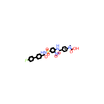 CN(C(=O)O)C12CCC(CNc3ccc(S(=O)(=O)NC(=O)c4ccc(-c5ccc(F)cc5)cc4)cc3[N+](=O)[O-])(CC1)CC2